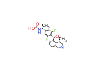 Cc1cncc2cccc(C(=O)c3c(F)cc([C@H](C)NC(=O)O)cc3F)c12